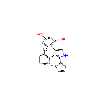 CCc1cccc(C)c1-c1c(-c2ccc(O)cc2O)c[nH]c1-c1cccs1